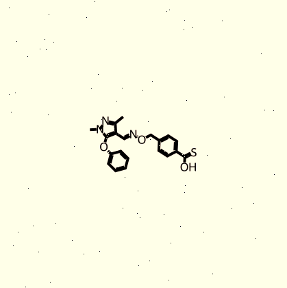 Cc1nn(C)c(Oc2ccccc2)c1C=NOCc1ccc(C(O)=S)cc1